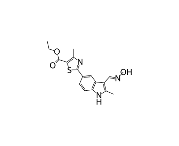 CCOC(=O)c1sc(-c2ccc3[nH]c(C)c(C=NO)c3c2)nc1C